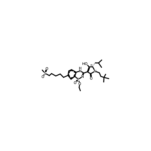 CCOP1(=O)N=C(C2=C(O)[C@H](CC(C)C)N(CCC(C)(C)C)C2=O)Nc2ccc(CCCCCS(C)(=O)=O)cc21